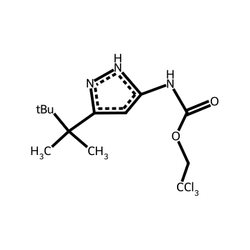 CC(C)(C)C(C)(C)c1cc(NC(=O)OCC(Cl)(Cl)Cl)[nH]n1